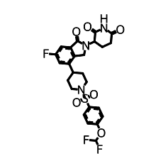 O=C1CCC(N2Cc3c(cc(F)cc3C3CCN(S(=O)(=O)c4ccc(OC(F)F)cc4)CC3)C2=O)C(=O)N1